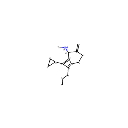 C=C1CCC2=C(CCC)C(C3CC3)=C2C1NC